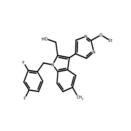 CCOc1ncc(-c2c(CO)n(Cc3ccc(F)cc3F)c3ccc(C)cc23)cn1